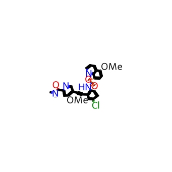 COc1cc(C(=O)N(C)C)ncc1C#Cc1cc(Cl)ccc1NS(=O)(=O)c1ccc(OC)c2cccnc12